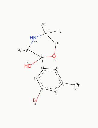 CCCc1cc(Br)cc(C2(O)OCC(C)(C)NC2C)c1